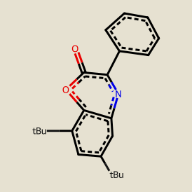 CC(C)(C)c1cc(C(C)(C)C)c2oc(=O)c(-c3ccccc3)nc2c1